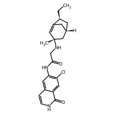 CC[C@H]1C[C@H]2CC1=C[C@@](C)(NCC(=O)Nc1cc3cc[nH]c(=O)c3cc1Cl)C2